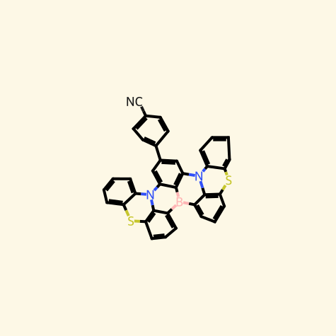 N#Cc1ccc(-c2cc3c4c(c2)N2c5ccccc5Sc5cccc(c52)B4c2cccc4c2N3c2ccccc2S4)cc1